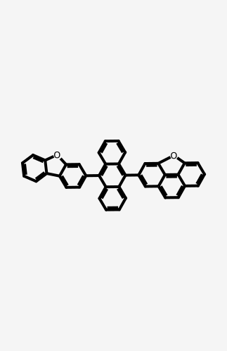 c1ccc2c(c1)oc1cc(-c3c4ccccc4c(-c4cc5ccc6cccc7oc(c4)c5c67)c4ccccc34)ccc12